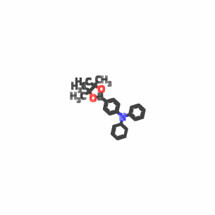 CC1(C)OB(c2ccc(N(c3ccccc3)C3C=CC=CC3)cc2)OC1(C)C